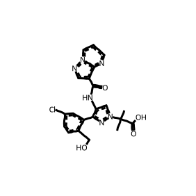 CC(C)(C(=O)O)n1cc(NC(=O)c2cnn3cccnc23)c(-c2cc(Cl)ccc2CO)n1